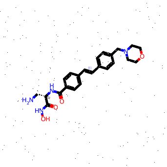 NC[C@H](NC(=O)c1ccc(/C=C/c2ccc(CN3CCOCC3)cc2)cc1)C(=O)NO